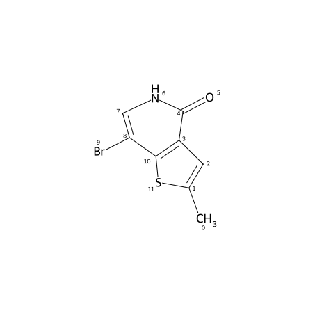 Cc1cc2c(=O)[nH]cc(Br)c2s1